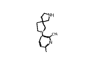 Cc1ccc(N2CCC3(CCNC3)C2)c(C#N)n1